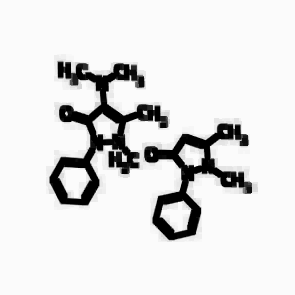 Cc1c(N(C)C)c(=O)n(-c2ccccc2)n1C.Cc1cc(=O)n(-c2ccccc2)n1C